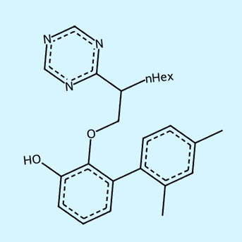 CCCCCCC(COc1c(O)cccc1-c1ccc(C)cc1C)c1ncncn1